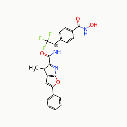 CC1C(C(=O)N[C@@H](c2ccc(C(=O)NO)cc2)C(F)(F)F)=Nc2oc(-c3ccccc3)cc21